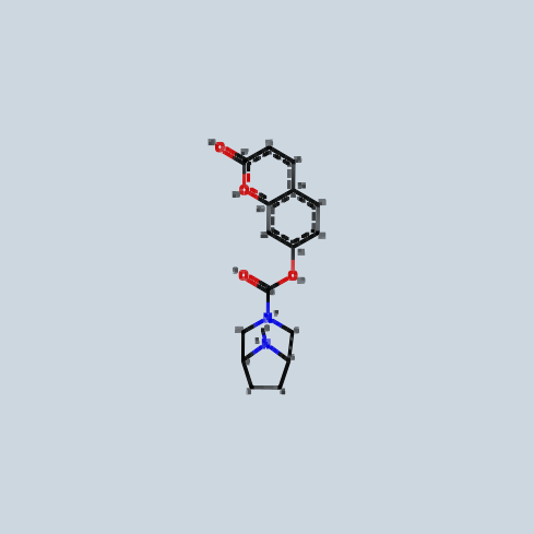 CN1C2CCC1CN(C(=O)Oc1ccc3ccc(=O)oc3c1)C2